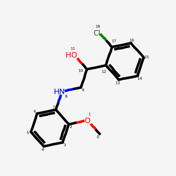 COc1ccccc1NCC(O)c1ccccc1Cl